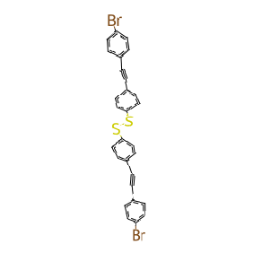 Brc1ccc(C#Cc2ccc(SSc3ccc(C#Cc4ccc(Br)cc4)cc3)cc2)cc1